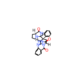 O=C1N[C@@H]2c3nc4ccccc4c(=O)n3[C@H]1C[C@]21c2ccccc2N2C(=O)[C@@H]3CCCN3[C@H]21